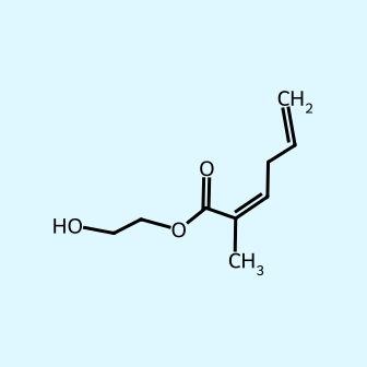 C=CCC=C(C)C(=O)OCCO